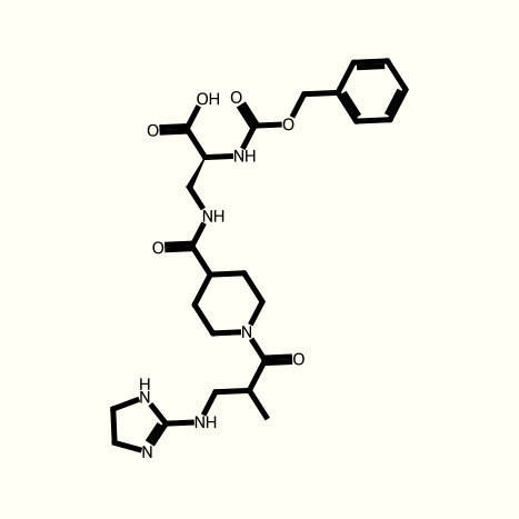 CC(CNC1=NCCN1)C(=O)N1CCC(C(=O)NC[C@H](NC(=O)OCc2ccccc2)C(=O)O)CC1